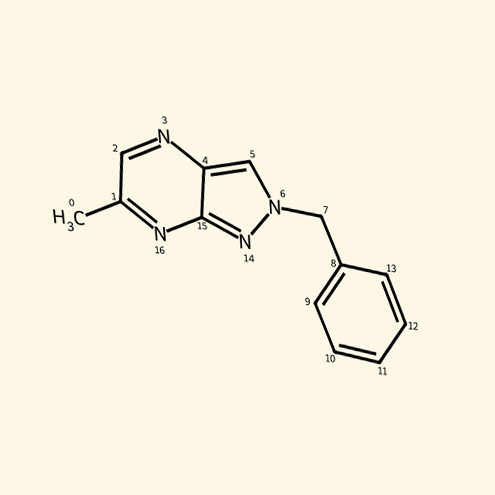 Cc1cnc2cn(Cc3ccccc3)nc2n1